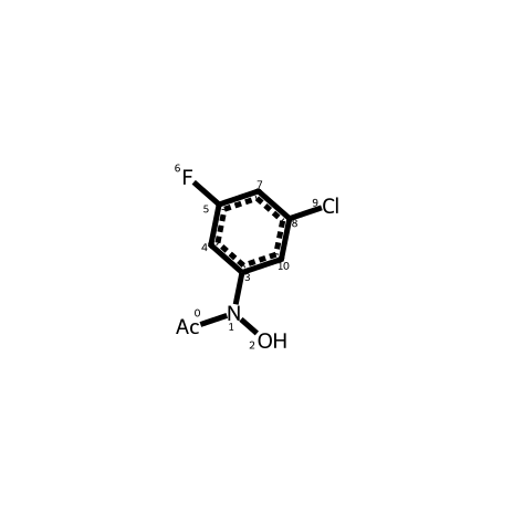 CC(=O)N(O)c1cc(F)cc(Cl)c1